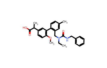 CCN(Cc1cc(C)ccc1-c1cc(C(C)C(=O)O)ccc1OC)C(=O)NCc1ccccc1